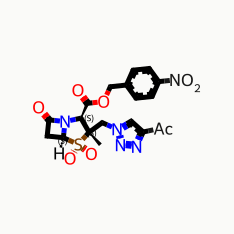 CC(=O)c1cn(C[C@@]2(C)[C@H](C(=O)OCc3ccc([N+](=O)[O-])cc3)N3C(=O)C[C@@H]3S2(=O)=O)nn1